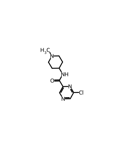 CN1CCC(NC(=O)c2cncc(Cl)n2)CC1